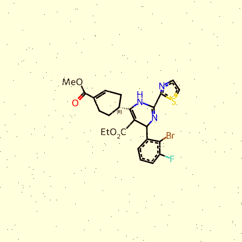 CCOC(=O)C1=C([C@H]2CC=C(C(=O)OC)CC2)NC(c2nccs2)=NC1c1cccc(F)c1Br